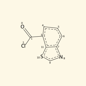 O=C(Cl)c1cccc2ncsc12